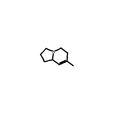 CC1=CC2CCCN2CC1